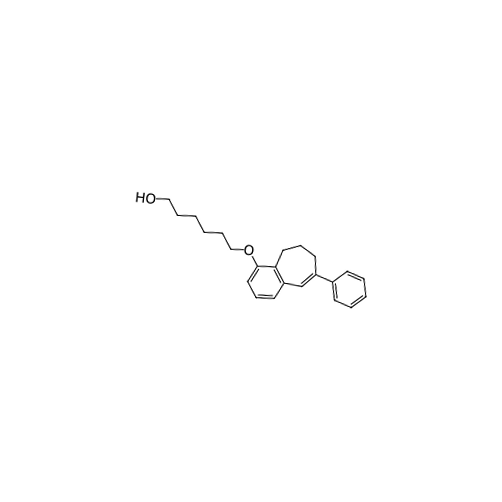 OCCCCCCOc1cccc2c1CCCC(c1ccccc1)=C2